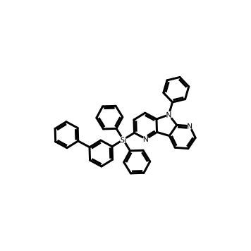 c1ccc(-c2cccc([Si](c3ccccc3)(c3ccccc3)c3ccc4c(n3)c3cccnc3n4-c3ccccc3)c2)cc1